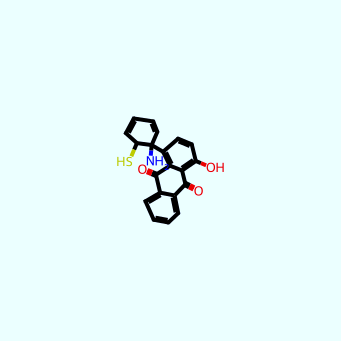 NC1(c2ccc(O)c3c2C(=O)c2ccccc2C3=O)C=CC=CC1S